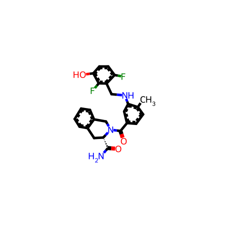 Cc1ccc(C(=O)N2Cc3ccccc3C[C@H]2C(N)=O)cc1NCc1c(F)ccc(O)c1F